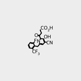 N#Cc1cc(Cc2c(F)cccc2C(F)(F)F)nc(C(=O)CCC(=O)O)c1O